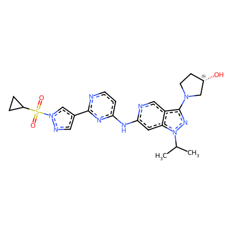 CC(C)n1nc(N2CC[C@H](O)C2)c2cnc(Nc3ccnc(-c4cnn(S(=O)(=O)C5CC5)c4)n3)cc21